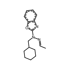 C/C=N/N(CC1CCCCC1)c1nc2ccccc2o1